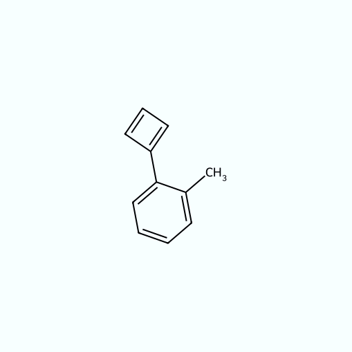 Cc1ccccc1C1=CC=C1